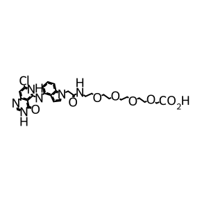 O=C(O)COCCOCCOCCOCCNC(=O)Cn1ccc2c(Nc3nc(Cl)cc4nc[nH]c(=O)c34)cccc21